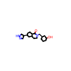 O=c1c2ccc(-c3cn[nH]c3)cc2ccn1Cc1cccc(O)c1